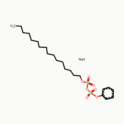 CCCCCCCCCCCCCCCCOS(=O)(=O)OS(=O)(=O)Oc1ccccc1.[NaH]